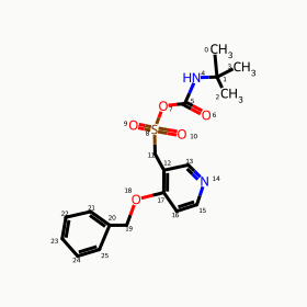 CC(C)(C)NC(=O)OS(=O)(=O)Cc1cnccc1OCc1ccccc1